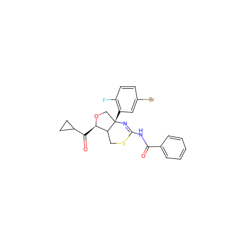 O=C(NC1=N[C@@]2(c3cc(Br)ccc3F)CO[C@H](C(=O)C3CC3)C2CS1)c1ccccc1